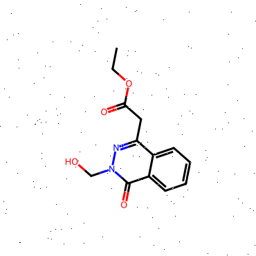 CCOC(=O)Cc1nn(CO)c(=O)c2ccccc12